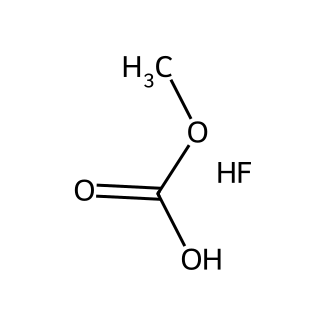 COC(=O)O.F